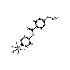 CCCCCCCCOc1ccc(C(=O)Oc2ccc(S(F)(F)(F)(F)F)cc2)cc1